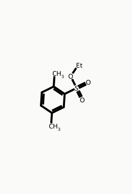 CCOS(=O)(=O)c1cc(C)ccc1C